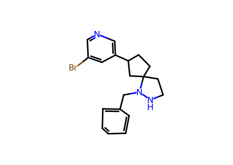 Brc1cncc(C2CCC3(CCNN3Cc3ccccc3)C2)c1